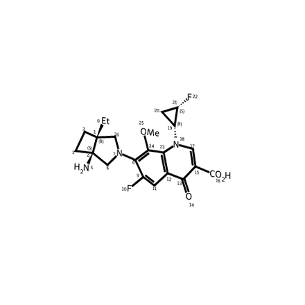 CC[C@]12CC[C@@]1(N)CN(c1c(F)cc3c(=O)c(C(=O)O)cn([C@@H]4C[C@@H]4F)c3c1OC)C2